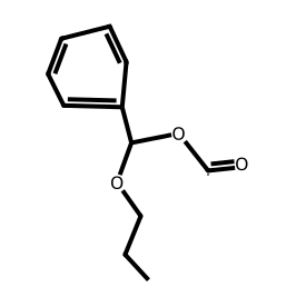 CCCOC(O[C]=O)c1ccccc1